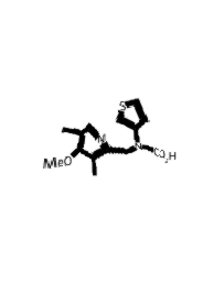 COc1c(C)cnc(CN(C(=O)O)c2ccsc2)c1C